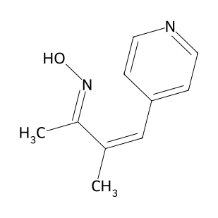 CC(=Cc1ccncc1)C(C)=NO